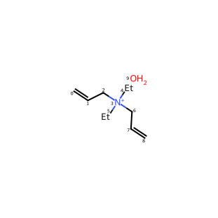 C=CC[N+](CC)(CC)CC=C.O